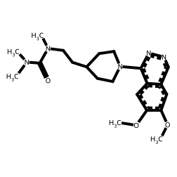 COc1cc2cnnc(N3CCC(CCN(C)C(=O)N(C)C)CC3)c2cc1OC